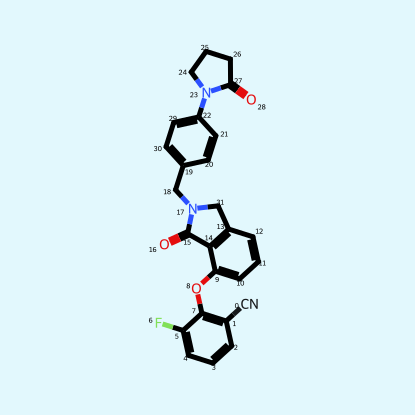 N#Cc1cccc(F)c1Oc1cccc2c1C(=O)N(Cc1ccc(N3CCCC3=O)cc1)C2